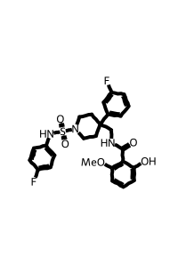 COc1cccc(O)c1C(=O)NCC1(c2cccc(F)c2)CCN(S(=O)(=O)Nc2ccc(F)cc2)CC1